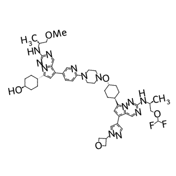 COC[C@H](C)Nc1ncc2c(-c3ccc(N4CCN(O[C@H]5CC[C@H](c6cc(-c7cnn(C8COC8)c7)c7cnc(N[C@@H](C)COC(F)F)nn76)CC5)CC4)nc3)cc([C@H]3CC[C@H](O)CC3)n2n1